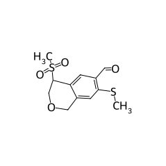 CSc1cc2c(cc1C=O)C(S(C)(=O)=O)COC2